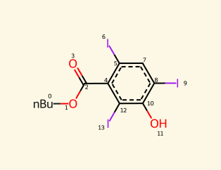 CCCCOC(=O)c1c(I)cc(I)c(O)c1I